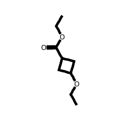 CCOC(=O)C1CC(OCC)C1